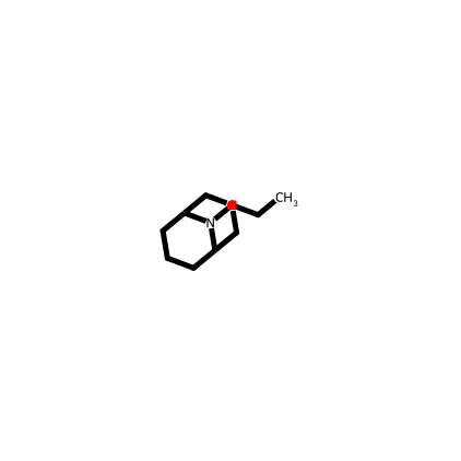 CCCN1C2CCCC1COC2